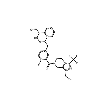 O=CC1NN=C(Cc2ccc(F)c(C(=O)N3CCn4c(C(F)(F)F)nc(CO)c4C3)c2)c2ccccc21